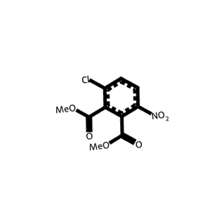 COC(=O)c1c(Cl)ccc([N+](=O)[O-])c1C(=O)OC